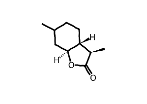 CC1CC[C@H]2[C@H](C1)OC(=O)[C@@H]2C